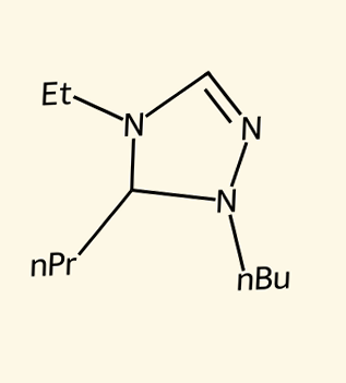 CCCCN1N=CN(CC)C1CCC